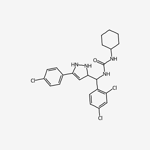 O=C(NC1CCCCC1)NC(c1ccc(Cl)cc1Cl)C1C=C(c2ccc(Cl)cc2)NN1